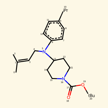 CC(C)=CCN(c1ccc(C(C)C)cc1)C1CCN(C(=O)OC(C)(C)C)CC1